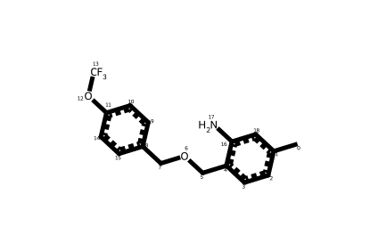 Cc1ccc(COCc2ccc(OC(F)(F)F)cc2)c(N)c1